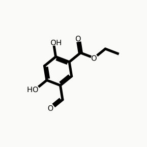 CCOC(=O)c1cc(C=O)c(O)cc1O